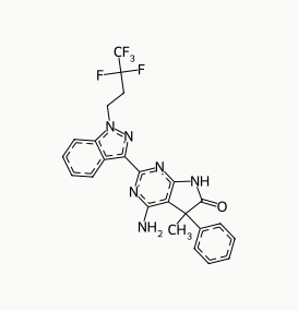 CC1(c2ccccc2)C(=O)Nc2nc(-c3nn(CCC(F)(F)C(F)(F)F)c4ccccc34)nc(N)c21